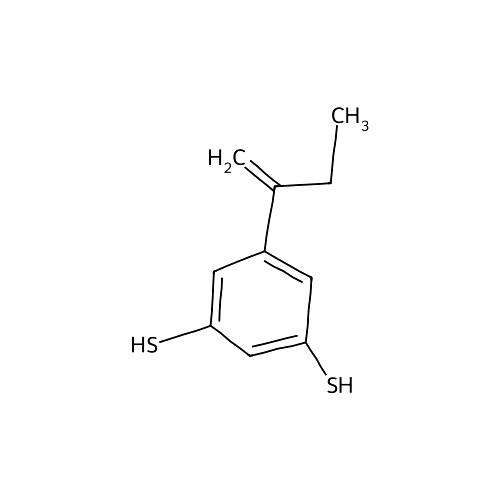 C=C(CC)c1cc(S)cc(S)c1